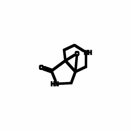 O=C1NCC23CNCCC12O3